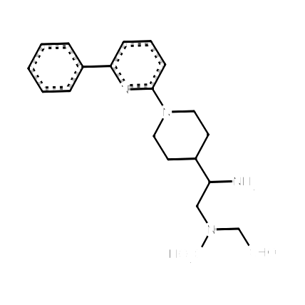 NC(CN(CC=O)C(=O)O)C1CCN(c2cccc(-c3ccccc3)n2)CC1